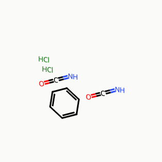 Cl.Cl.N=C=O.N=C=O.c1ccccc1